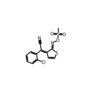 CS(=O)(=O)ON=C1SC=C/C1=C(/C#N)c1ccccc1Cl